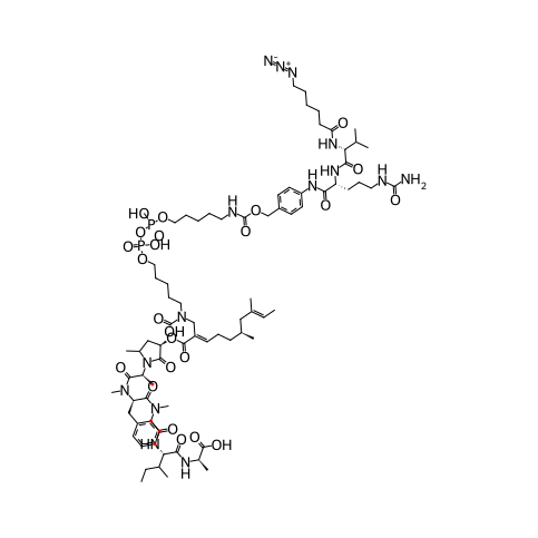 C/C=C(\C)C[C@@H](C)CC/C=C(\CN(CCCCCOP(=O)(O)OP(=O)(O)OCCCCCNC(=O)OCc1ccc(NC(=O)[C@@H](CCCNC(N)=O)NC(=O)[C@H](NC(=O)CCCCCN=[N+]=[N-])C(C)C)cc1)C(=O)O)C(=O)O[C@@H]1CC(C)N([C@@H](C)C(=O)N(C)[C@H](Cc2ccccc2)C(=O)N(C)CC(=O)N[C@H](C(=O)N[C@H](C)C(=O)O)C(C)CC)C1=O